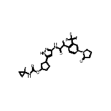 CC(C(=O)Nc1cc(C2CCC(OC(=O)NC3(C)CC3)C2)[nH]n1)c1ccc(N2CCCC2=O)cc1C(F)(F)F